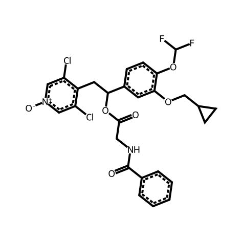 O=C(CNC(=O)c1ccccc1)OC(Cc1c(Cl)c[n+]([O-])cc1Cl)c1ccc(OC(F)F)c(OCC2CC2)c1